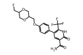 NC(=O)c1cc(-c2ccc(OCC3COC(CF)CO3)cc2)c(C(F)(F)F)[nH]c1=O